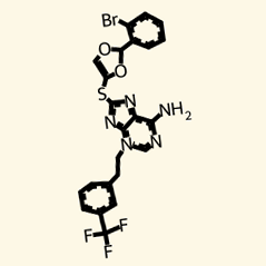 Nc1ncn(CCc2cccc(C(F)(F)F)c2)c2nc(SC3=COC(c4ccccc4Br)O3)nc1-2